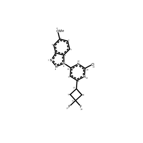 COc1ccc2c(c1)nnn2-c1cc(C2CC(F)(F)C2)nc(Cl)n1